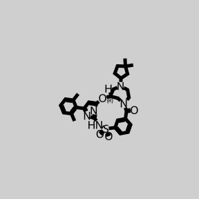 Cc1cccc(C)c1-c1cc2nc(n1)NS(=O)(=O)c1cccc(c1)C(=O)N1CCN(C3CCC(C)(C)C3)C[C@H](C1)O2